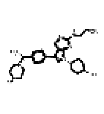 CC(C)N1CCN([C@@H](C)c2ccc(-c3cn([C@H]4CC[C@H](O)CC4)c4nc(NCCC(F)(F)F)ncc34)cc2)CC1